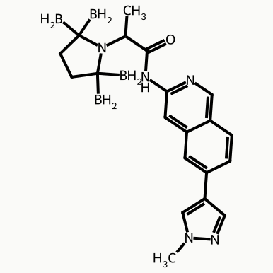 BC1(B)CCC(B)(B)N1C(C)C(=O)Nc1cc2cc(-c3cnn(C)c3)ccc2cn1